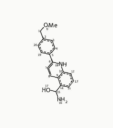 COCc1ccc(C2=C=Cc3c(cccc3C(N)O)N2)cc1